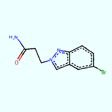 NC(=O)CCn1cc2cc(Br)ccc2n1